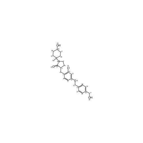 CC1(N2CCC(Cc3ccc(OCc4ccc(CO)cc4)cc3Cl)C2=O)CCC(O)CC1